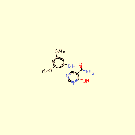 COc1cc(Nc2ncnc(O)c2C(N)=O)cc(OC)c1